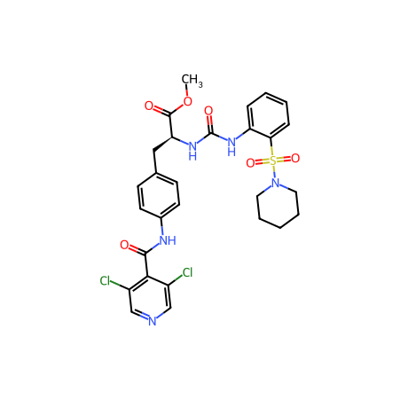 COC(=O)[C@H](Cc1ccc(NC(=O)c2c(Cl)cncc2Cl)cc1)NC(=O)Nc1ccccc1S(=O)(=O)N1CCCCC1